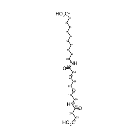 O=C(O)CCCCCCCCCCNC(=O)COCCOCCNC(=O)CCC(=O)O